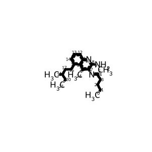 CCCC/C(C)=N/c1c(N)nc2cccc(CCC(C)CC)c2c1C